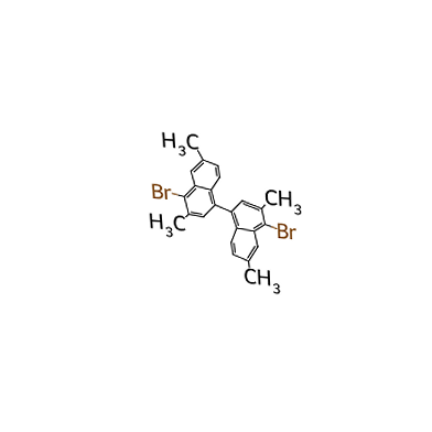 Cc1ccc2c(-c3cc(C)c(Br)c4cc(C)ccc34)cc(C)c(Br)c2c1